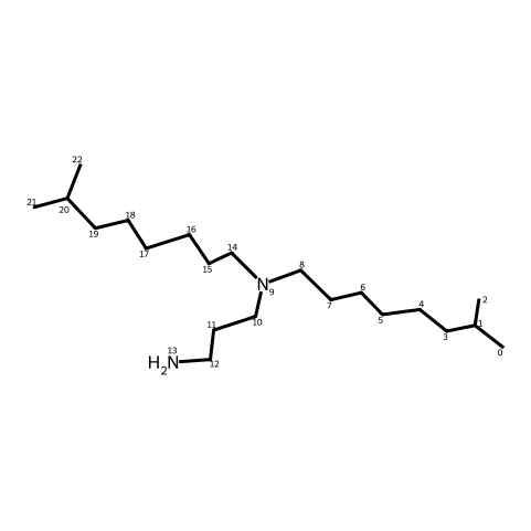 CC(C)CCCCCCN(CCCN)CCCCCCC(C)C